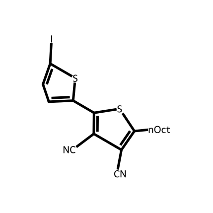 CCCCCCCCc1sc(-c2ccc(I)s2)c(C#N)c1C#N